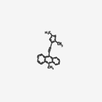 Cc1cc(C#Cc2c3ccccc3c(C)c3ccccc23)c(C)s1